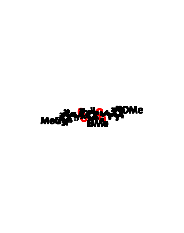 COc1ccc(/C=C/C(=O)Oc2ccc(OC(=O)/C=C/c3ccc(OC)cc3)c(OC)c2)cc1